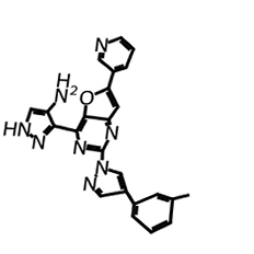 Cc1cccc(-c2cnn(-c3nc(-c4n[nH]cc4N)c4oc(-c5cccnc5)cc4n3)c2)c1